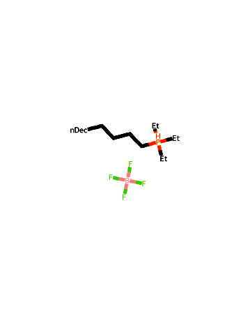 CCCCCCCCCCCCCC[PH](CC)(CC)CC.F[B-](F)(F)F